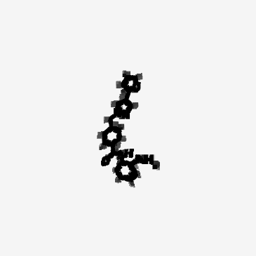 Nc1ccccc1NC(=O)c1ccc(Cn2cc(-c3ccco3)cn2)cc1